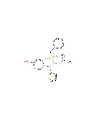 CC(C)CN(C(c1ccc(O)nc1)c1cccs1)S(=O)(=O)Cc1ccccc1